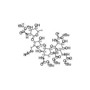 CC1OC(OC2C(CN=[N+]=[N-])OC(OC3C(O)C(NC(=O)OC(C)(C)C)CC(NC(=O)OC(C)(C)C)C3OC3OC(CNC(=O)OC(C)(C)C)C(O)C(O)C3NC(=O)OC(C)(C)C)C2O)C(NC(=O)OC(C)(C)C)C(O)C1O